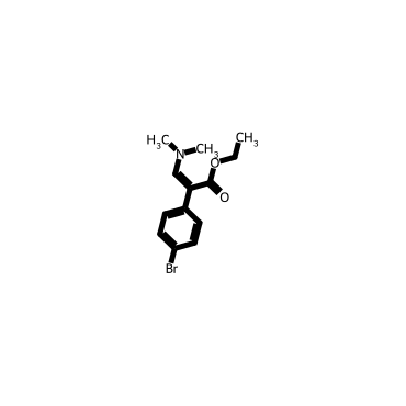 CCOC(=O)/C(=C\N(C)C)c1ccc(Br)cc1